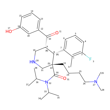 Cc1c(F)cccc1[C@H]1[C@@H](C(=O)c2cccc(O)c2)CNC[C@@]1(CCCCN(C)C)C(=O)N(C(C)C)C(C)C